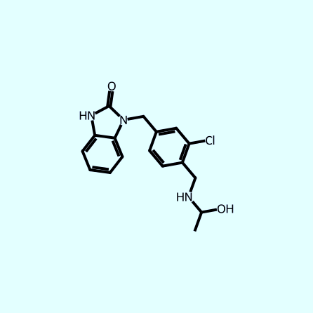 CC(O)NCc1ccc(Cn2c(=O)[nH]c3ccccc32)cc1Cl